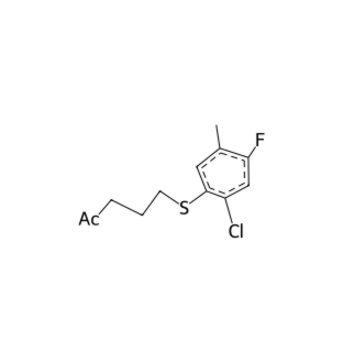 CC(=O)CCCSc1cc(C)c(F)cc1Cl